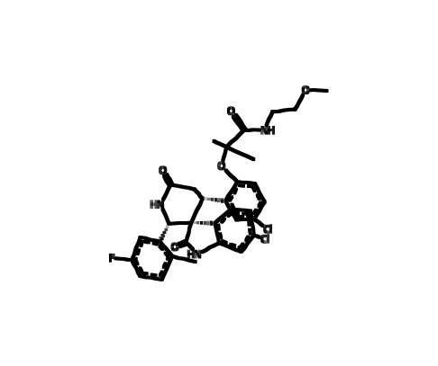 COCCNC(=O)C(C)(C)Oc1ccc(Cl)cc1[C@H]1CC(=O)N[C@@H](c2cc(F)ccc2C)[C@]12C(=O)Nc1cc(Cl)ccc12